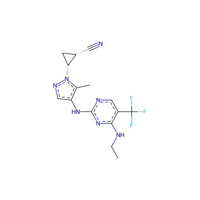 CCNc1nc(Nc2cnn([C@@H]3C[C@@H]3C#N)c2C)ncc1C(F)(F)F